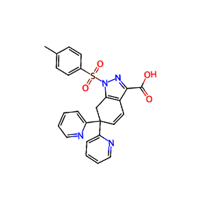 Cc1ccc(S(=O)(=O)n2nc(C(=O)O)c3c2CC(c2ccccn2)(c2ccccn2)C=C3)cc1